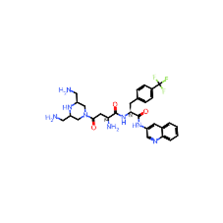 NCC1CN(C(=O)C[C@H](N)C(=O)N[C@@H](Cc2ccc(C(F)(F)F)cc2)C(=O)Nc2cnc3ccccc3c2)CC(CN)N1